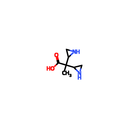 CC(C(=O)O)(C1CN1)C1CN1